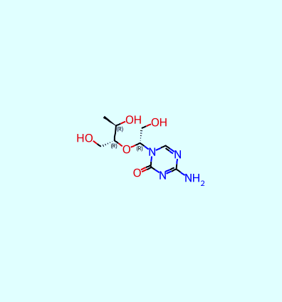 C[C@@H](O)[C@@H](CO)O[C@H](CO)n1cnc(N)nc1=O